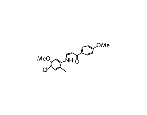 COc1ccc(C(=O)/C=C\Nc2cc(OC)c(Cl)cc2C)cc1